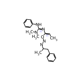 C/C=C(/N=C(/Nc1ccccc1)N(C)C)ON=NC(C)Cc1ccccc1